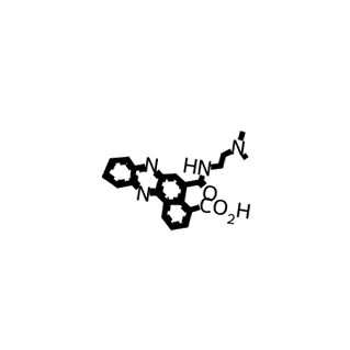 CN(C)CCNC(=O)c1cc2nc3ccccc3nc2c2cccc(C(=O)O)c12